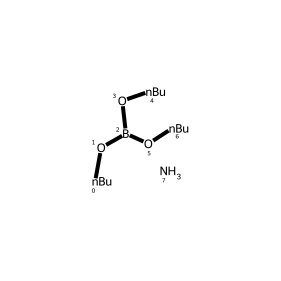 CCCCOB(OCCCC)OCCCC.N